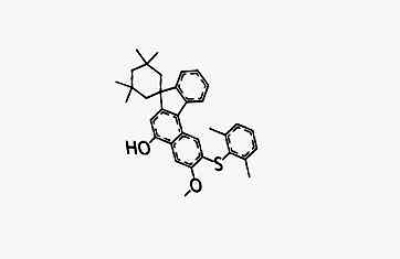 COc1cc2c(O)cc3c(c2cc1Sc1c(C)cccc1C)-c1ccccc1C31CC(C)(C)CC(C)(C)C1